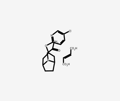 NC(=O)CN1C2CCC1CC(Oc1ccc(Cl)cn1)C2.O=C(O)C=CC(=O)O